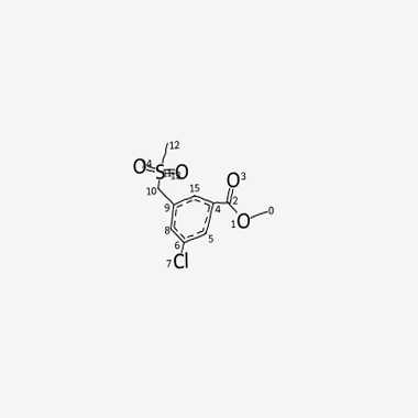 COC(=O)c1cc(Cl)cc(CS(C)(=O)=O)c1